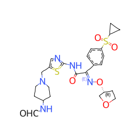 O=CNC1CCN(Cc2cnc(NC(=O)/C(=N/O[C@@H]3CCOC3)c3ccc(S(=O)(=O)C4CC4)cc3)s2)CC1